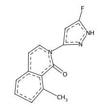 Cc1cccc2ccn(-c3cc(F)[nH]n3)c(=O)c12